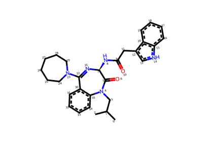 CC(C)CN1C(=O)[C@H](NC(=O)Cc2c[nH]c3ccccc23)N=C(N2CCCCCC2)c2ccccc21